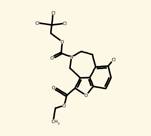 CCOC(=O)c1oc2ccc(Cl)c3c2c1CN(C(=O)OCC(Cl)(Cl)Cl)CC3